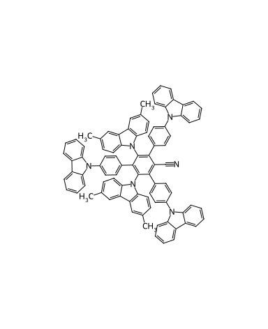 Cc1ccc2c(c1)c1cc(C)ccc1n2-c1c(-c2ccc(-n3c4ccccc4c4ccccc43)cc2)c(C#N)c(-c2ccc(-n3c4ccccc4c4ccccc43)cc2)c(-n2c3ccc(C)cc3c3cc(C)ccc32)c1-c1ccc(-n2c3ccccc3c3ccccc32)cc1